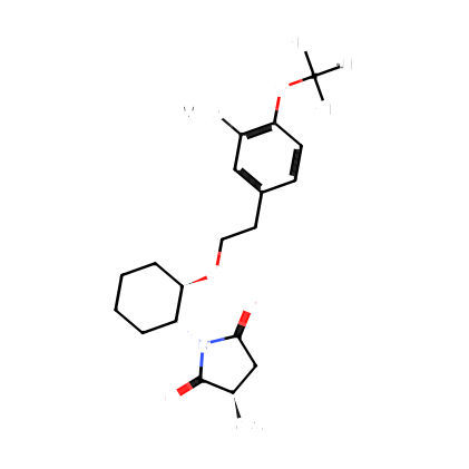 [2H]C([2H])([2H])Oc1ccc(CCO[C@@H]2CCCC[C@H]2N2C(=O)C[C@@H](OC(C)=O)C2=O)cc1OC